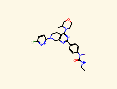 CCNC(=O)N(I)c1ccc(-c2nc3c(c(N4CCOCC4C)n2)CCN(c2ccc(Cl)nn2)C3)cc1